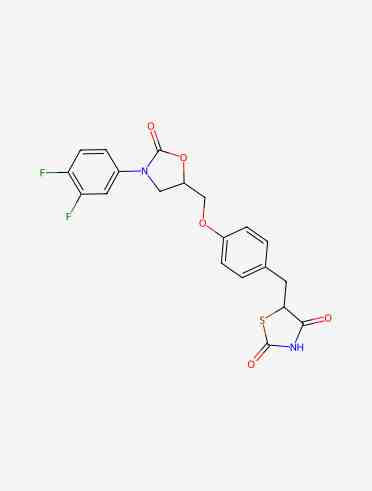 O=C1NC(=O)C(Cc2ccc(OCC3CN(c4ccc(F)c(F)c4)C(=O)O3)cc2)S1